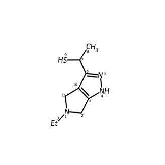 CCN1Cc2[nH]nc(C(C)S)c2C1